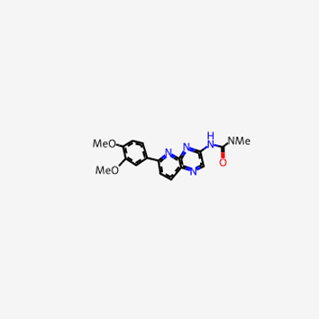 CNC(=O)Nc1cnc2ccc(-c3ccc(OC)c(OC)c3)nc2n1